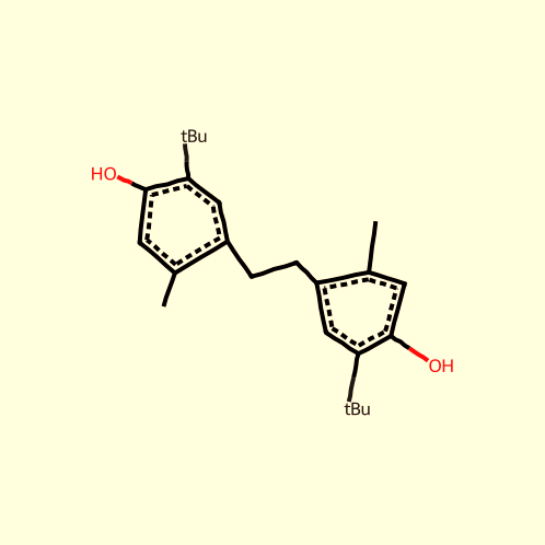 Cc1cc(O)c(C(C)(C)C)cc1CCc1cc(C(C)(C)C)c(O)cc1C